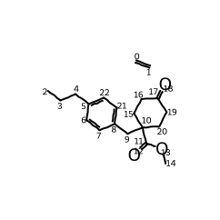 C=C.CCCc1ccc(CC2(C(=O)OC)CCC(=O)CC2)cc1